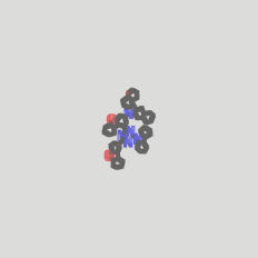 c1ccc2cc3c(cc2c1)c1c2ccccc2ccc1n3-c1cc(-c2nc(-c3ccc4oc5ccccc5c4c3)nc(-n3c4ccccc4c4ccccc43)n2)c2c(c1)oc1ccccc12